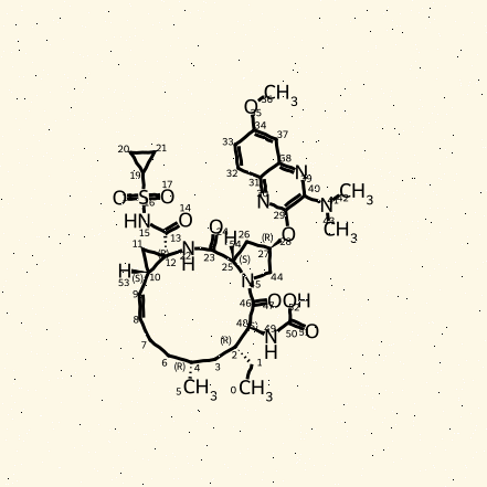 CC[C@@H]1C[C@H](C)CCC=C[C@@H]2C[C@@]2(C(=O)NS(=O)(=O)C2CC2)NC(=O)[C@@H]2C[C@@H](Oc3nc4ccc(OC)cc4nc3N(C)C)CN2C(=O)[C@H]1NC(=O)O